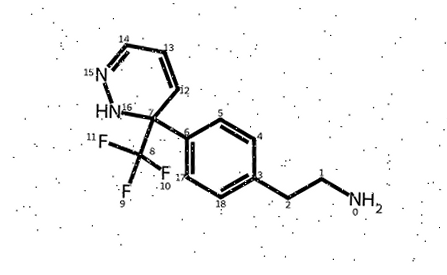 NCCc1ccc(C2(C(F)(F)F)C=CC=NN2)cc1